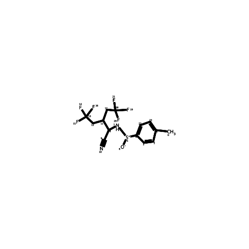 Cc1ccc([S+]([O-])NC(C#N)C(CC(F)(F)F)CC(F)(F)F)cc1